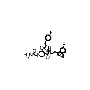 NC(=O)CN1CCC(NC(=O)C=Cc2ccc(F)cc2)(C(=O)NCCc2c[nH]c3ccc(F)cc23)CC1